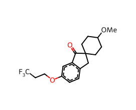 COC1CCC2(CC1)Cc1ccc(OCCC(F)(F)F)cc1C2=O